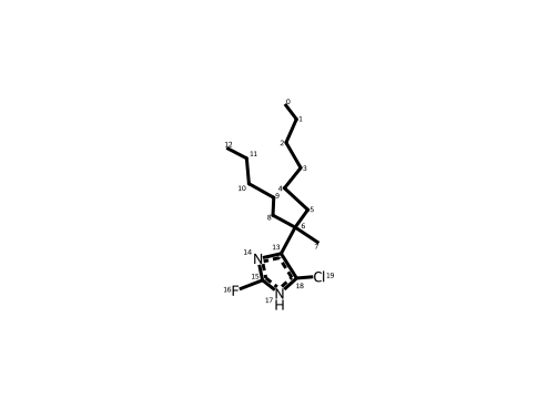 CCCCCCC(C)(CCCCC)c1nc(F)[nH]c1Cl